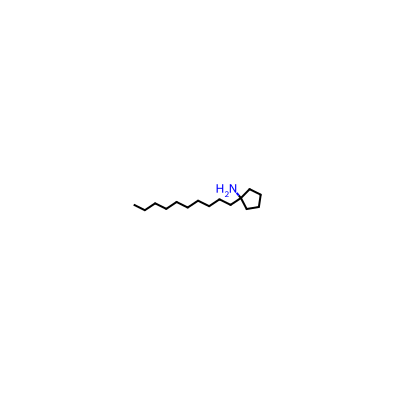 CCCCCCCCCCC1(N)CCCC1